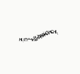 CCCCCCC[C@H]1CC[C@H](c2ccc(-c3ccc(C4=CCC(CCC)CC4)cc3)cc2)CC1